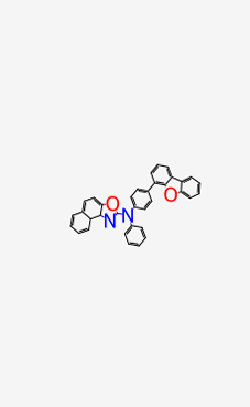 C1=CC2=CC=C3OC(N(c4ccccc4)c4ccc(-c5cccc6c5oc5ccccc56)cc4)=NC3C2C=C1